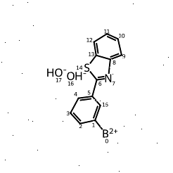 [B+2]c1cccc(-c2nc3ccccc3s2)c1.[OH-].[OH-]